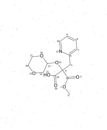 COC(=O)C(Cc1ccccn1)(OC1COCCO1)C(=O)O